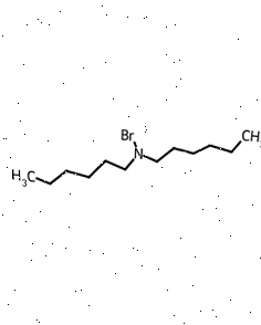 CCCCCCN(Br)CCCCCC